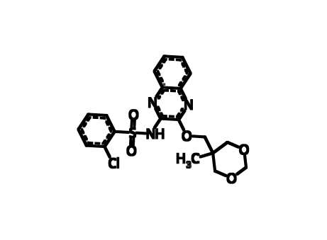 CC1(COc2nc3ccccc3nc2NS(=O)(=O)c2ccccc2Cl)COCOC1